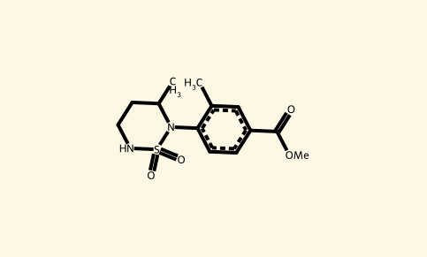 COC(=O)c1ccc(N2C(C)CCNS2(=O)=O)c(C)c1